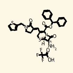 N[C@@H]1C(=O)N2C(C(=O)OC(c3ccccc3)c3ccccc3)=C(C=C3CCN(Cc4cccs4)C3=O)CS[C@H]12.O=C(O)C(F)(F)F